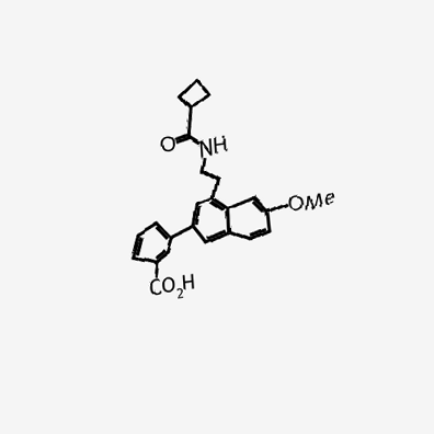 COc1ccc2cc(-c3cccc(C(=O)O)c3)cc(CCNC(=O)C3CCC3)c2c1